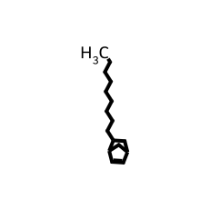 CCCCCCCCCC1CC2C=CC1C2